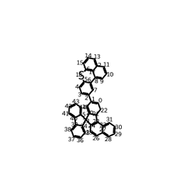 C1=C(c2ccc3c(c2)-c2cccc4cccc(c24)S3)C=C2C(C1)c1c(ccc3ccccc13)C21c2ccccc2-c2ccccc21